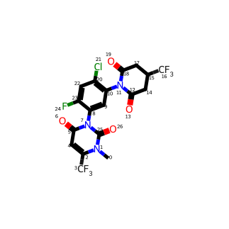 Cn1c(C(F)(F)F)cc(=O)n(-c2cc(N3C(=O)CC(C(F)(F)F)CC3=O)c(Cl)cc2F)c1=O